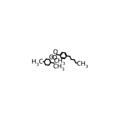 CCCCCc1ccc(C(=O)OO[C]2CC(C)CCC2C(C)C)cc1